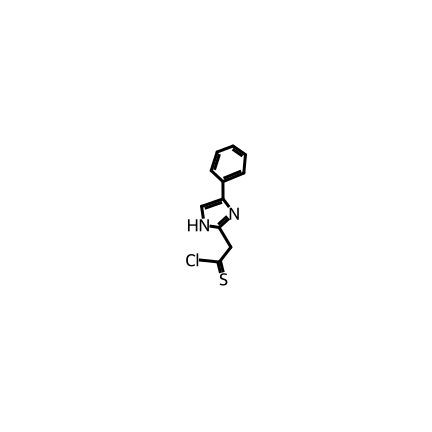 S=C(Cl)Cc1nc(-c2ccccc2)c[nH]1